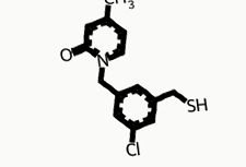 Cc1ccn(Cc2cc(Cl)cc(CS)c2)c(=O)c1